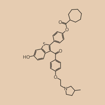 CC1CCN(CCOc2ccc(C(=O)c3c(-c4ccc(OC(=O)C5CCCCCC5)cc4)sc4cc(O)ccc34)cc2)C1